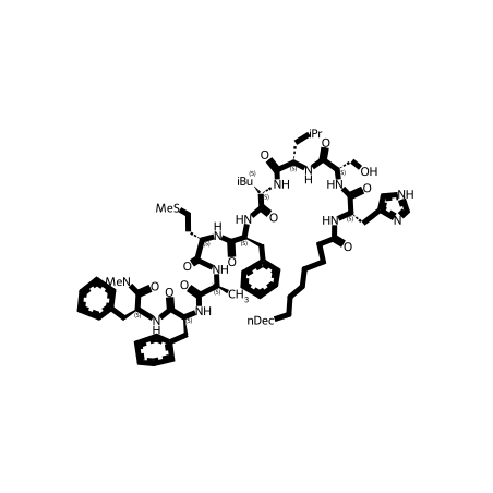 CCCCCCCCCCCCCCCCC(=O)N[C@@H](Cc1c[nH]cn1)C(=O)N[C@@H](CO)C(=O)N[C@@H](CC(C)C)C(=O)N[C@H](C(=O)N[C@@H](Cc1ccccc1)C(=O)N[C@@H](CCSC)C(=O)N[C@@H](C)C(=O)N[C@@H](Cc1ccccc1)C(=O)N[C@@H](Cc1ccccc1)C(=O)NC)[C@@H](C)CC